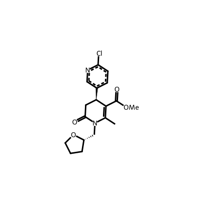 COC(=O)C1=C(C)N(C[C@@H]2CCCO2)C(=O)C[C@H]1c1ccc(Cl)nc1